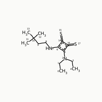 CCN(CC)c1c(NCCC(C)(C)C)c(=S)c1=S